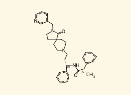 C[C@H](C(=O)N[C@@H](CCN1CCC2(CC1)CCN(Cc1cccnc1)C2=O)c1ccccc1)c1ccccc1